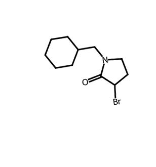 O=C1C(Br)CCN1CC1CCCCC1